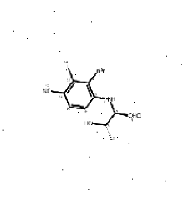 CCCc1c(N[C@@H](C=O)[C@H](C)O)ccc(C#N)c1I